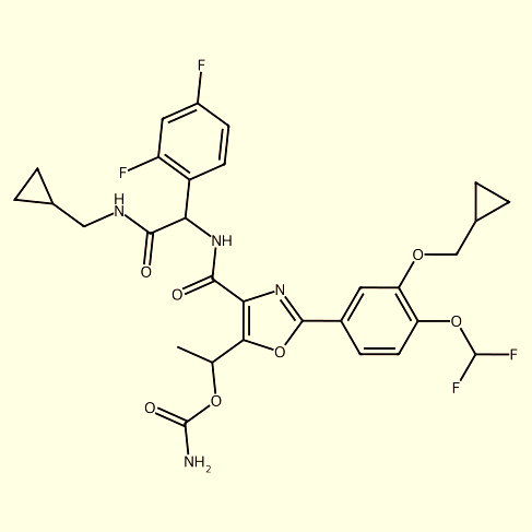 CC(OC(N)=O)c1oc(-c2ccc(OC(F)F)c(OCC3CC3)c2)nc1C(=O)NC(C(=O)NCC1CC1)c1ccc(F)cc1F